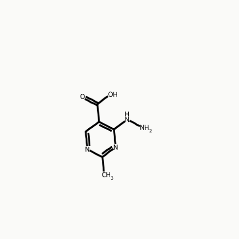 Cc1ncc(C(=O)O)c(NN)n1